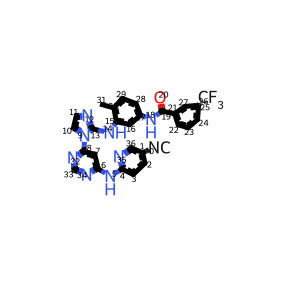 [C-]#[N+]c1ccc(Nc2cc(-n3ccnc3Nc3cc(NC(=O)c4cccc(C(F)(F)F)c4)ccc3C)ncn2)nc1